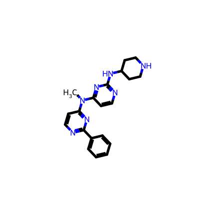 CN(c1ccnc(NC2CCNCC2)n1)c1ccnc(-c2ccccc2)n1